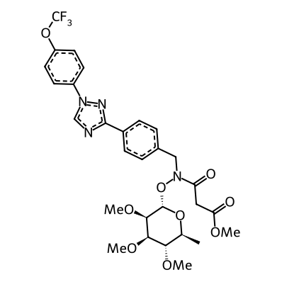 COC(=O)CC(=O)N(Cc1ccc(-c2ncn(-c3ccc(OC(F)(F)F)cc3)n2)cc1)O[C@@H]1O[C@@H](C)[C@H](OC)[C@@H](OC)[C@H]1OC